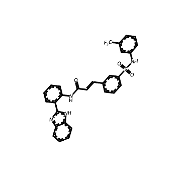 O=C(/C=C/c1cccc(S(=O)(=O)Nc2cccc(C(F)(F)F)c2)c1)Nc1ccccc1-c1nc2ccccc2[nH]1